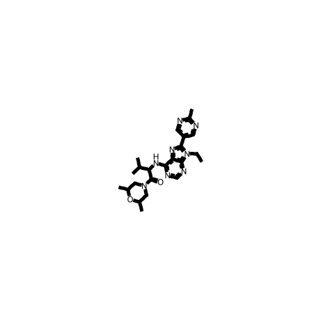 CCn1c(-c2cnc(C)nc2)nc2c(NC(C(=O)N3CC(C)OC(C)C3)C(C)C)ncnc21